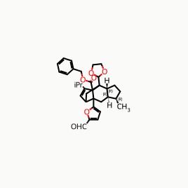 CC(C)C1=CC2CC3(C4OCCO4)[C@@H]4CC[C@@H](C)[C@H]4CC2(c2ccc(C=O)o2)C13C(=O)OCc1ccccc1